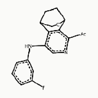 CC(=O)c1ncc(Nc2cccc(F)c2)c2c1C1CCC2CC1